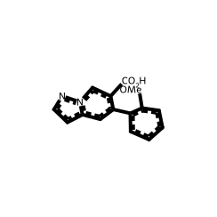 COc1ccccc1-c1cc2ccnn2cc1C(=O)O